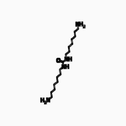 NCCCCCCCCNC(=O)NCCCCCCCCN